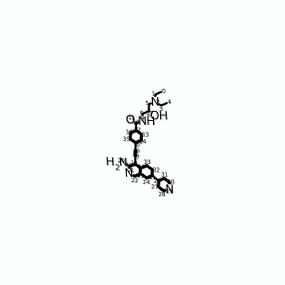 CCN(CC)CC(O)CNC(=O)c1ccc(C#Cc2c(N)ncc3cc(-c4ccncc4)ccc23)cc1